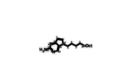 CCCCCCCCCCCCn1ccc2nc(N)ncc21